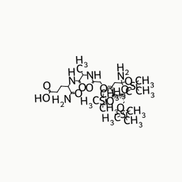 CC(NC(=O)CO[C@@H]1CC(N)(O[Si](C)(C)C)O[C@H](CO[Si](C)(C)C)[C@H]1O[Si](C)(C)C)C(=O)NC(CCC(=O)O)C(N)=O